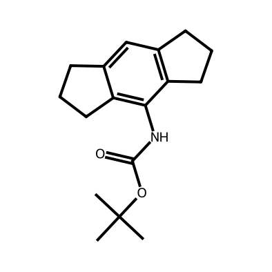 CC(C)(C)OC(=O)Nc1c2c(cc3c1CCC3)CCC2